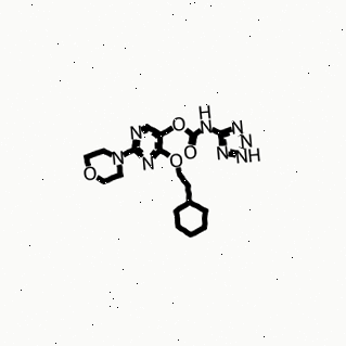 O=C(Nc1nn[nH]n1)Oc1cnc(N2CCOCC2)nc1OCCC1CCCCC1